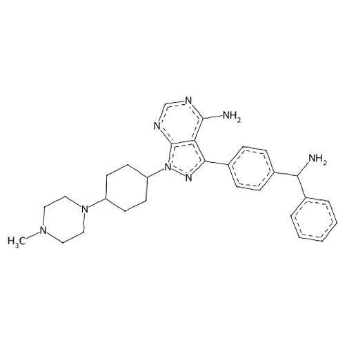 CN1CCN(C2CCC(n3nc(-c4ccc(C(N)c5ccccc5)cc4)c4c(N)ncnc43)CC2)CC1